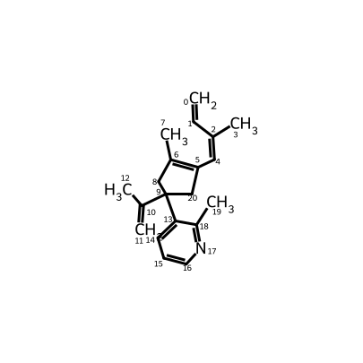 C=C/C(C)=C\C1=C(C)CC(C(=C)C)(c2cccnc2C)C1